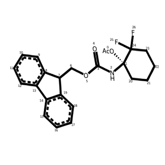 CC(=O)O[C@@]1(NC(=O)OCC2c3ccccc3-c3ccccc32)CCCCC1(F)F